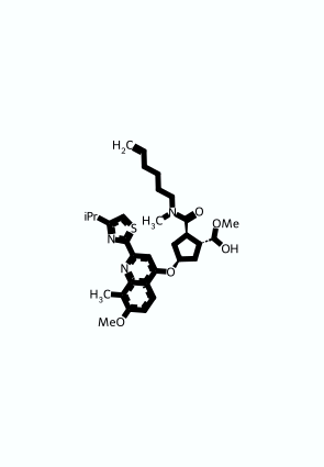 C=CCCCCN(C)C(=O)[C@@H]1C[C@H](Oc2cc(-c3nc(C(C)C)cs3)nc3c(C)c(OC)ccc23)C[C@H]1C(O)OC